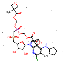 CC1(C(=O)OCOP(=O)(CS(=O)(=O)C[C@H]2O[C@@H](n3ccc4c(NC5CCCC5)c(C#N)c(Cl)nc43)[C@H](O)[C@@H]2O)OCOC(=O)C2(C)COC2)COC1